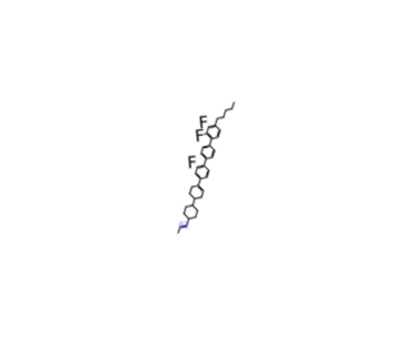 C/C=C/C1CCC(C2CC=C(c3ccc(-c4ccc(-c5ccc(CCCCC)c(F)c5F)cc4)c(F)c3)CC2)CC1